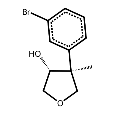 C[C@]1(c2cccc(Br)c2)COC[C@@H]1O